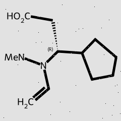 C=CN(NC)[C@H](CC(=O)O)C1CCCC1